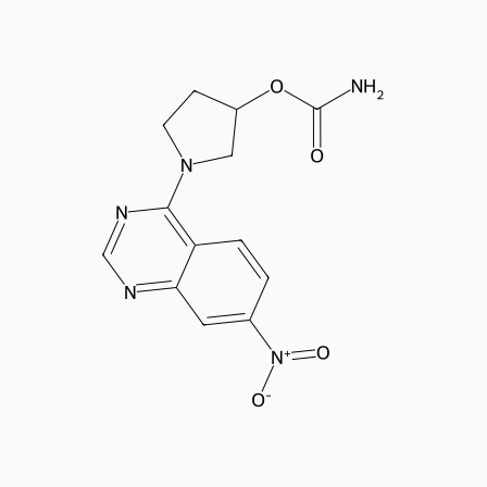 NC(=O)OC1CCN(c2ncnc3cc([N+](=O)[O-])ccc23)C1